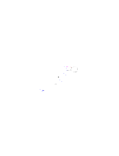 N#CCCC[C@@H]1CC[C@H]2CN(c3noc4ccccc34)CCN2C1